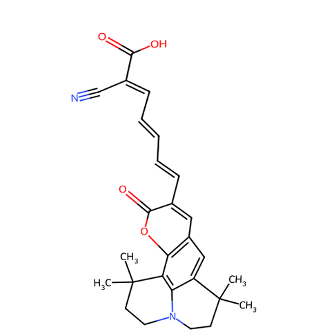 CC1(C)CCN2CCC(C)(C)c3c2c1cc1cc(/C=C/C=C/C=C(\C#N)C(=O)O)c(=O)oc31